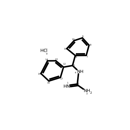 Cl.N=C(N)NC(c1ccccc1)c1ccccc1